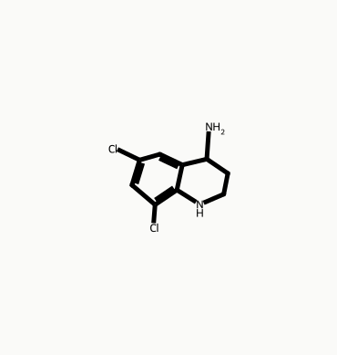 NC1CCNc2c(Cl)cc(Cl)cc21